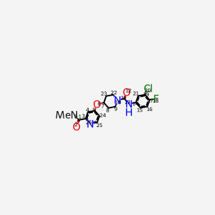 CNC(=O)c1cc(OC2CCN(C(=O)Nc3ccc(F)c(Cl)c3)CC2)ccn1